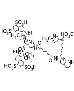 CCN1/C(=C/C=C(/C=C/C2C(C)(C)c3c(ccc4c(S(=O)(=O)O)cc(S(=O)(=O)O)cc34)[N+]2([O-])CC)c2ccc(C(=O)NCCCCCC(=O)NCc3cc4c(nc3CCCCCC[C@@H](CC(=O)O)c3cnc(C)nc3)NCCC4)cn2)C(C)(C)c2c1ccc1c(S(=O)(=O)O)cc(S(=O)(=O)O)cc21